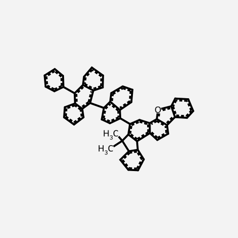 CC1(C)c2ccccc2-c2c1c(-c1ccc(-c3c4ccccc4c(-c4ccccc4)c4ccccc34)c3ccccc13)cc1c2ccc2c3ccccc3oc12